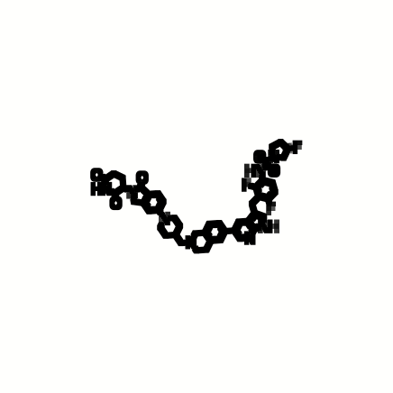 O=C1CCC(N2Cc3cc(N4CCC(CN5CCc6cc(-c7cnc8[nH]cc(Cc9c(F)ccc(NS(=O)(=O)N%10CC[C@@H](F)C%10)c9F)c8c7)ccc6C5)CC4)ccc3C2=O)C(=O)N1